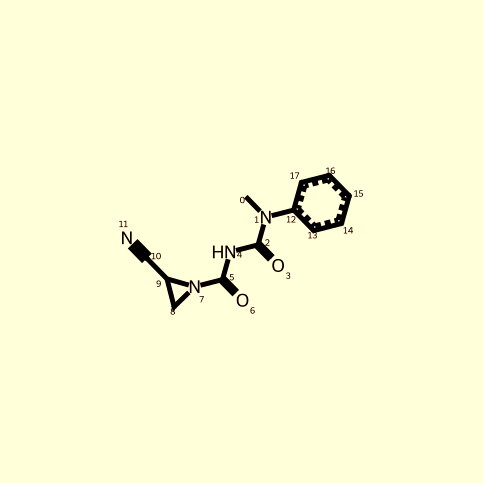 CN(C(=O)NC(=O)N1CC1C#N)c1ccccc1